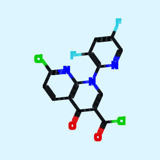 O=C(Cl)c1cn(-c2ncc(F)cc2F)c2nc(Cl)ccc2c1=O